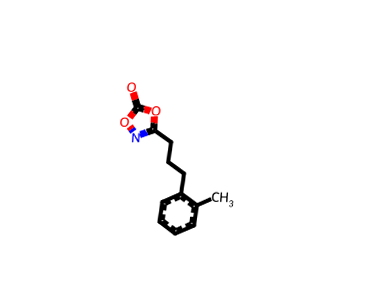 Cc1ccccc1CCCc1noc(=O)o1